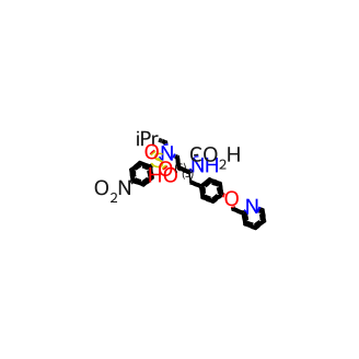 CC(C)CN(C[C@H](O)[C@H](Cc1ccc(OCc2ccccn2)cc1)NC(=O)O)S(=O)(=O)c1ccc([N+](=O)[O-])cc1